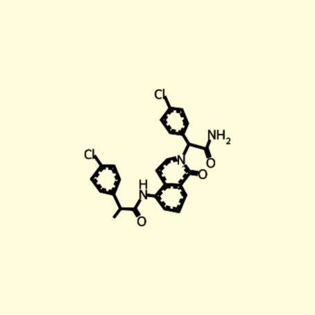 CC(C(=O)Nc1cccc2c(=O)n(C(C(N)=O)c3ccc(Cl)cc3)ccc12)c1ccc(Cl)cc1